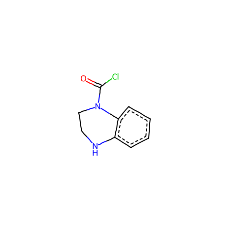 O=C(Cl)N1CCNc2ccccc21